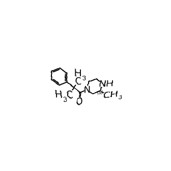 C[C@H]1CN(C(=O)C(C)(C)c2ccccc2)CCN1